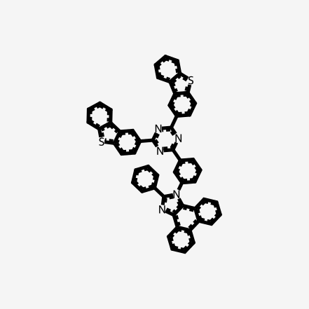 c1ccc(-c2nc3c4ccccc4c4ccccc4c3n2-c2cccc(-c3nc(-c4ccc5sc6ccccc6c5c4)nc(-c4ccc5sc6ccccc6c5c4)n3)c2)cc1